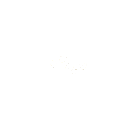 Cc1cc(F)c(C(=O)Nc2cccc(-c3nnc4n3C[C@@H](C)C4)n2)cc1-n1cnc(C2CC2)c1